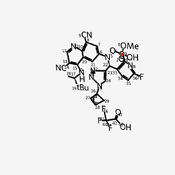 COP(=O)(O)ON(c1cc(C#N)c2ncc(C#N)c(N[C@H](C)C(C)(C)C)c2c1)[C@H](c1cn(C23CC(C2)C3)nn1)c1ccc(F)nc1C.O=C(O)C(F)(F)F